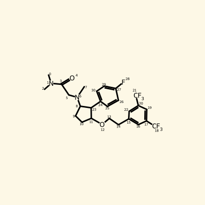 CN(C)C(=O)CN(C)C1CCC(OCCc2cc(C(F)(F)F)cc(C(F)(F)F)c2)C1c1ccc(F)cc1